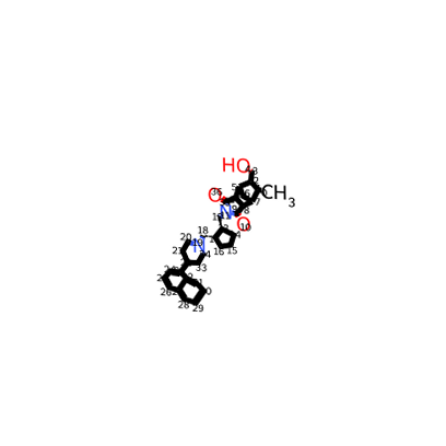 CC1C(CO)C2CC1C1C(=O)N(C[C@H]3CCC[C@@H]3CN3CCC(c4cccc5ccccc45)CC3)C(=O)C21